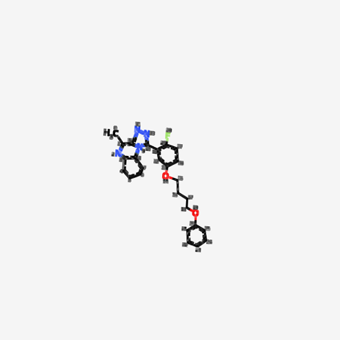 Cc1nc2ccccc2n2c(-c3cc(OCCCCOc4ccccc4)ccc3F)nnc12